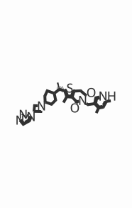 Cc1cc(C)c(CN2CCc3sc([C@H](C)C4CCC(N5CC(n6ccnn6)C5)CC4)c(C)c3C2=O)c(=O)[nH]1